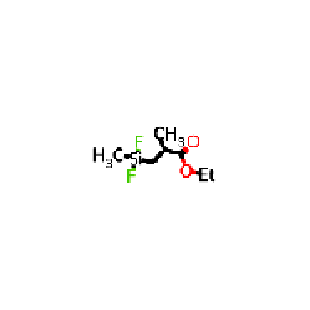 CCOC(=O)C(C)C[Si](C)(F)F